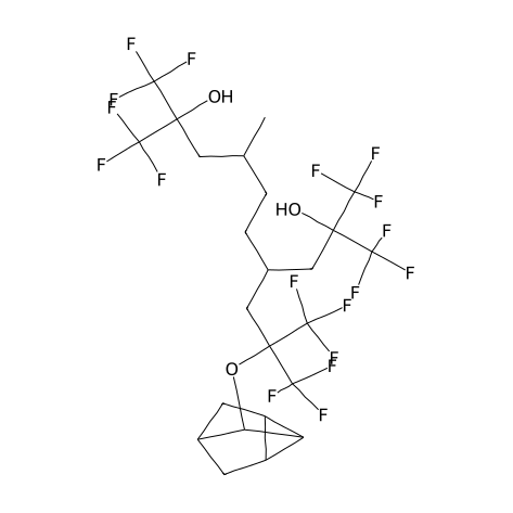 CC(CCC(CC(O)(C(F)(F)F)C(F)(F)F)CC(OC1C2CC3C(C2)C31)(C(F)(F)F)C(F)(F)F)CC(O)(C(F)(F)F)C(F)(F)F